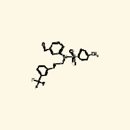 Cc1ccc(S(=O)(=O)N(CC=Cc2cccc(C(F)(F)F)c2)c2cccc(C=O)c2)cc1